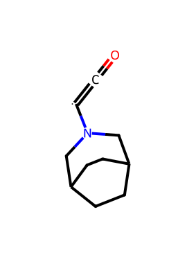 O=C=[C]N1CC2CCC(CC2)C1